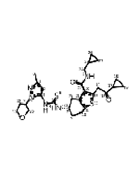 Cc1cc(NC(=S)N[C@H]2CCc3sc(CC(=O)C4CC4)c(C(=O)NCC4CC4)c3C2)n(C2CCOC2)n1